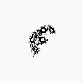 O=C(O)C(CC(F)(F)F)Nc1cccc(CN(Cc2ccc(-n3cccn3)cc2)S(=O)(=O)c2cccnc2)n1